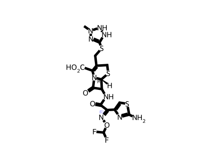 CN1N=C(SCC2=C(C(=O)O)N3C(=O)C(NC(=O)/C(=N/OC(F)F)c4csc(N)n4)[C@H]3SC2)NN1